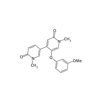 COc1cccc(Oc2cn(C)c(=O)cc2-c2ccc(=O)n(C)c2)c1